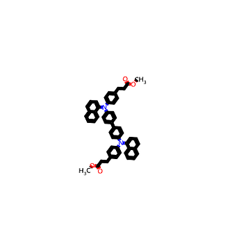 COC(=O)CCc1ccc(N(c2ccc(-c3ccc(N(c4ccc(CCC(=O)OC)cc4)c4cccc5ccccc45)cc3)cc2)c2cccc3ccccc23)cc1